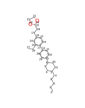 CCCCCC1CCC(c2ccc(-c3ccc(CCC4OCCO4)cc3CC)cc2)CC1